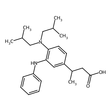 CC(C)CN(CC(C)C)c1ccc(C(C)CC(=O)O)cc1Nc1ccccc1